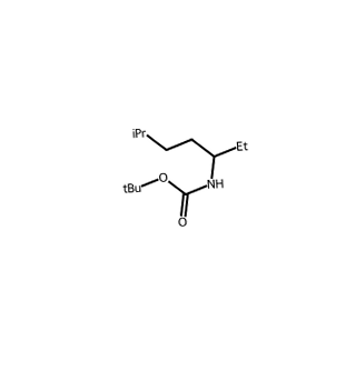 CCC(CCC(C)C)NC(=O)OC(C)(C)C